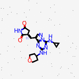 O=C1C/C(=C\c2cnn3c(NC4CC4)nc(NC4CCOCC4)nc23)C(=O)N1